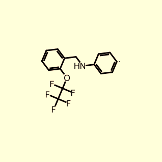 FC(F)(F)C(F)(F)Oc1ccccc1CNc1cc[c]cc1